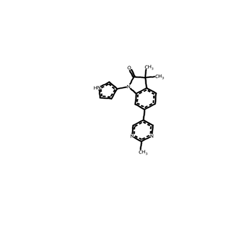 Cc1ncc(-c2ccc3c(c2)N(c2cc[nH]c2)C(=O)C3(C)C)cn1